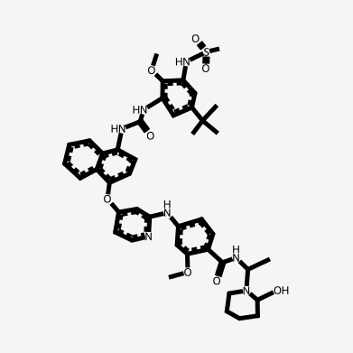 COc1cc(Nc2cc(Oc3ccc(NC(=O)Nc4cc(C(C)(C)C)cc(NS(C)(=O)=O)c4OC)c4ccccc34)ccn2)ccc1C(=O)NC(C)N1CCCCC1O